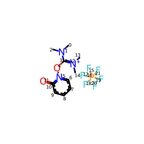 CN(C)C(On1ccccc1=O)=[N+](C)C.F[P-](F)(F)(F)(F)F